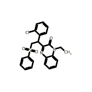 CCn1c(=O)c(C(CS(=O)(=O)c2ccccc2)c2ccccc2Cl)nc2ccccc21